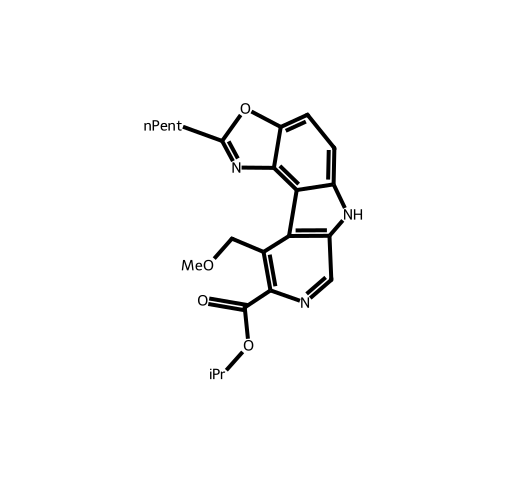 CCCCCc1nc2c(ccc3[nH]c4cnc(C(=O)OC(C)C)c(COC)c4c32)o1